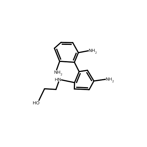 Nc1ccc(NCCO)c(-c2c(N)cccc2N)c1